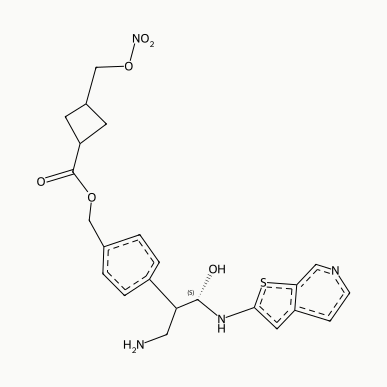 NCC(c1ccc(COC(=O)C2CC(CO[N+](=O)[O-])C2)cc1)[C@H](O)Nc1cc2ccncc2s1